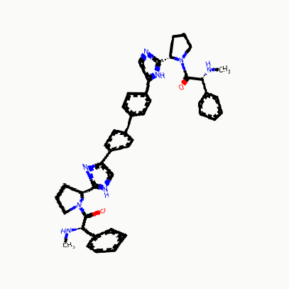 CN[C@@H](C(=O)N1CCC[C@H]1c1nc(-c2ccc(-c3ccc(-c4cnc([C@@H]5CCCN5C(=O)[C@H](NC)c5ccccc5)[nH]4)cc3)cc2)c[nH]1)c1ccccc1